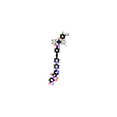 CC1(C)[C@H](NC(=O)c2ccc(C#CC3CCN(C4CCN(c5cc6c(cn5)C(=O)N(C5CCC(=O)NC5=O)C6=O)CC4)CC3)cc2)C(C)(C)[C@H]1Oc1ccc(C#N)c(Cl)c1